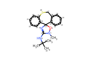 CN1OC2(N=C1NC(C)(C)C)c1ccccc1CSc1ccccc12